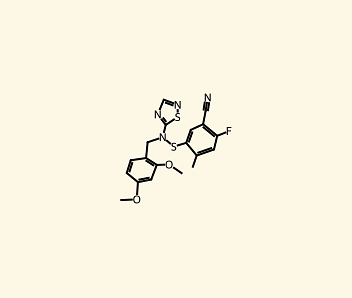 COc1ccc(CN(Sc2cc(C#N)c(F)cc2C)c2ncns2)c(OC)c1